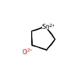 C1C[CH2][Sn+2][CH2]1.[O-2]